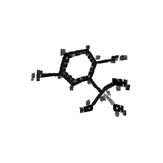 C[C@](N)(O)c1cc(F)ccc1F